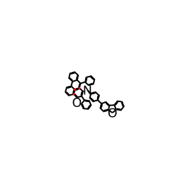 c1ccc(N(c2ccc(-c3ccc4oc5ccccc5c4c3)cc2)c2cccc3oc4ccccc4c23)c(-c2cc3ccccc3c3ccccc23)c1